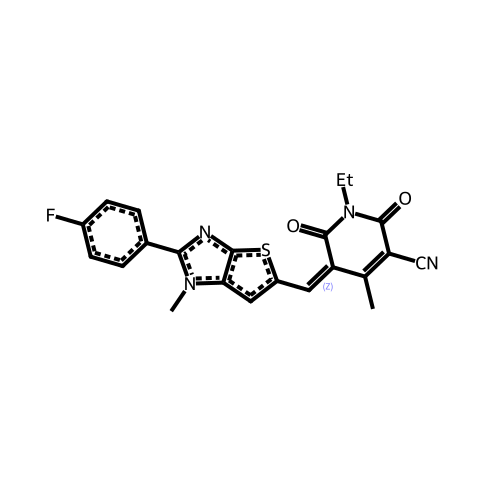 CCN1C(=O)C(C#N)=C(C)/C(=C/c2cc3c(nc(-c4ccc(F)cc4)n3C)s2)C1=O